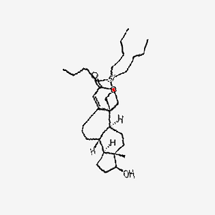 CCCC[Si](CCCC)(CCCC)OC[C@]12CCC(=O)C=C1CC[C@@H]1[C@@H]2CC[C@]2(C)[C@@H](O)CC[C@@H]12